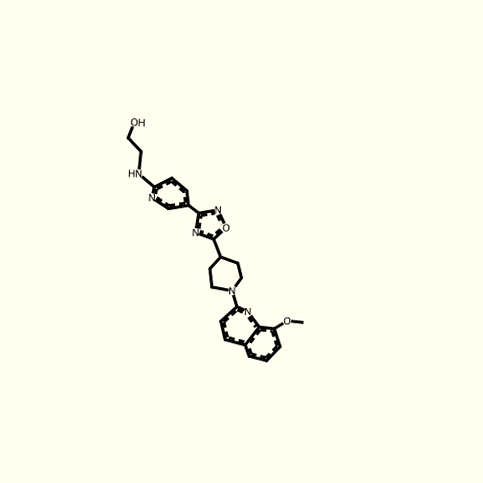 COc1cccc2ccc(N3CCC(c4nc(-c5ccc(NCCO)nc5)no4)CC3)nc12